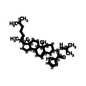 CC(C)CCC[C@@H](C)[C@H]1CCC2C3CC=C4C[C@@H](N(NC(C)C)C(=O)c5ncc[nH]5)CC[C@]4(C)C3CC[C@@]21C